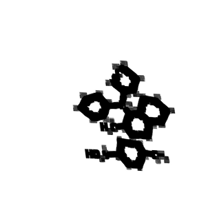 Cc1ccc(S(=O)(=O)O)cc1.Cc1ccc2ccccc2c1P(c1ccccc1)c1ccccc1